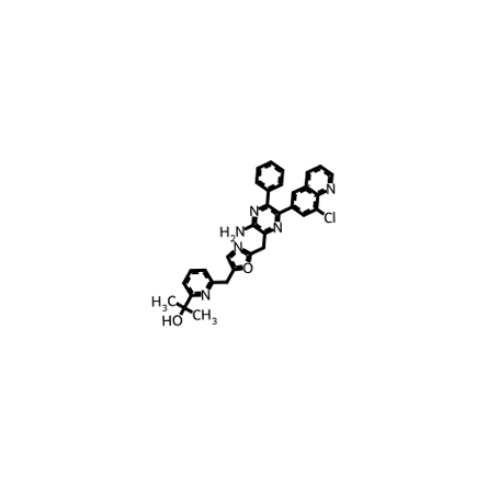 CC(C)(O)c1cccc(Cc2cnc(Cc3nc(-c4cc(Cl)c5ncccc5c4)c(-c4ccccc4)nc3N)o2)n1